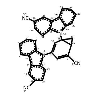 N#CC1=CC(n2c3ccccc3c3cc(C#N)ccc32)=CC2(n3c4ccccc4c4cc(C#N)ccc43)CC12